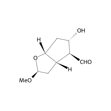 CO[C@@H]1C[C@H]2[C@H](C=O)[C@@H](O)C[C@H]2O1